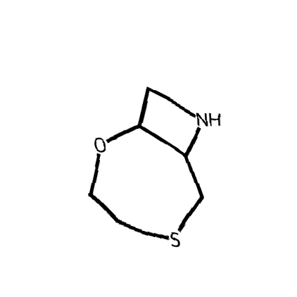 C1CSCC2NCC2O1